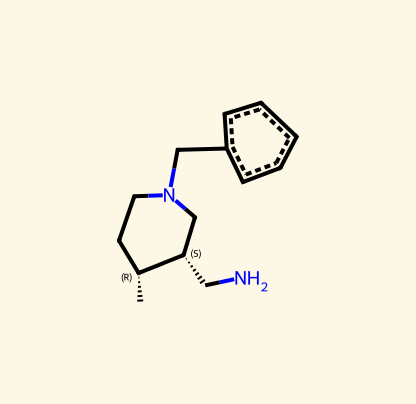 C[C@@H]1CCN(Cc2ccccc2)C[C@@H]1CN